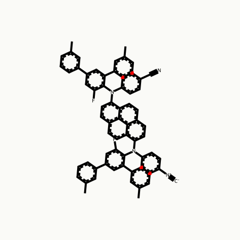 [C-]#[N+]c1ccc(N(c2c(F)cc(-c3cccc(C)c3)cc2-c2cccc(C)c2)c2ccc3ccc4c(N(c5ccc(C#N)cc5)c5c(F)cc(-c6cccc(C)c6)cc5-c5cccc(C)c5)ccc5ccc2c3c54)cc1